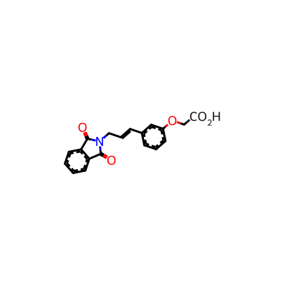 O=C(O)COc1cccc(C=CCN2C(=O)c3ccccc3C2=O)c1